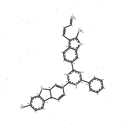 C=C/C=C\c1c(C)oc2cc(-c3nc(C4=CC5Oc6cc(Cl)ccc6C5C=C4)nc(-c4ccccc4)n3)ccc12